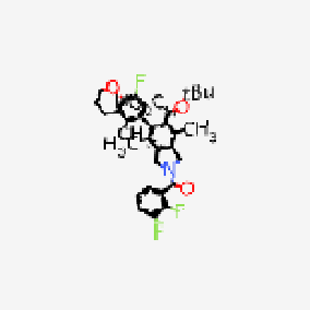 Cc1c(-c2c(C)c3c(c(C)c2[C@H](OC(C)(C)C)C(=O)O)CN(C(=O)c2cccc(F)c2F)C3)cc(F)c2c1CCCO2